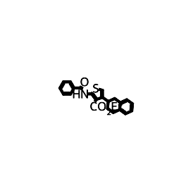 CCOC(=O)c1c(C2CCc3ccccc3C2)csc1NC(=O)c1ccccc1